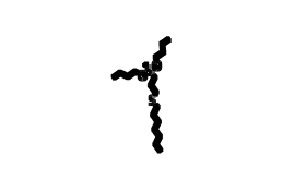 CCCCCCCSCCC[Si](C)(OCCCC)OCCCC